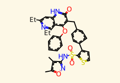 CCc1cc2[nH]c(=O)c(Cc3ccc(-c4ccsc4S(=O)(=O)Nc4noc(C)c4C)cc3)c(Oc3ccccc3)c2c(CC)n1